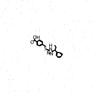 CCC(c1ccccc1)c1nnc(SCc2ccc(C(=O)O)cc2)[nH]1